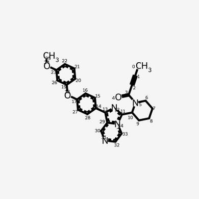 CC#CC(=O)N1CCCCC1c1nc(-c2ccc(Oc3cccc(OC)c3)cc2)c2cnccn12